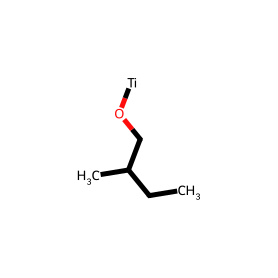 CCC(C)C[O][Ti]